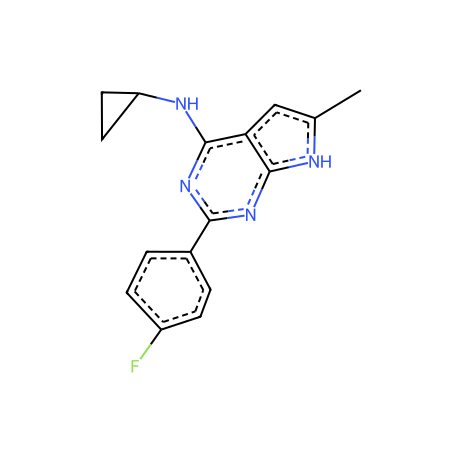 Cc1cc2c(NC3CC3)nc(-c3ccc(F)cc3)nc2[nH]1